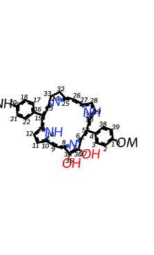 COc1ccc(-c2c3nc(cc4ccc([nH]4)c(-c4ccc(NC(C)=O)cc4)c4nc(cc5ccc2[nH]5)CC4)C(O)=C3O)cc1